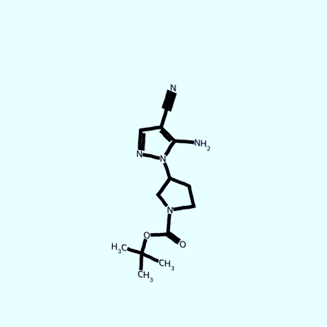 CC(C)(C)OC(=O)N1CCC(n2ncc(C#N)c2N)C1